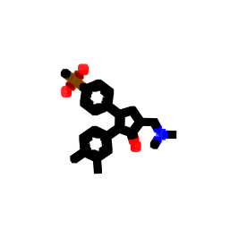 Cc1ccc(C2=C(c3ccc(S(C)(=O)=O)cc3)CC(CN(C)C)C2=O)cc1C